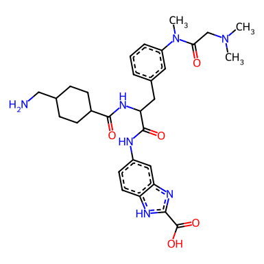 CN(C)CC(=O)N(C)c1cccc(CC(NC(=O)C2CCC(CN)CC2)C(=O)Nc2ccc3[nH]c(C(=O)O)nc3c2)c1